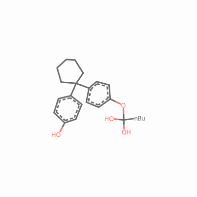 CCCCC(O)(O)Oc1ccc(C2(c3ccc(O)cc3)CCCCC2)cc1